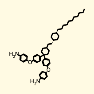 CCCCCCCCCCC[C@H]1CC[C@H](CCC2CCC(c3ccc(Oc4ccc(N)cc4)cc3)(c3ccc(Oc4ccc(N)cc4)cc3)CC2)CC1